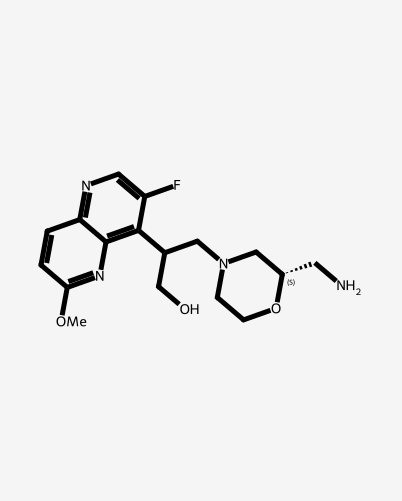 COc1ccc2ncc(F)c(C(CO)CN3CCO[C@@H](CN)C3)c2n1